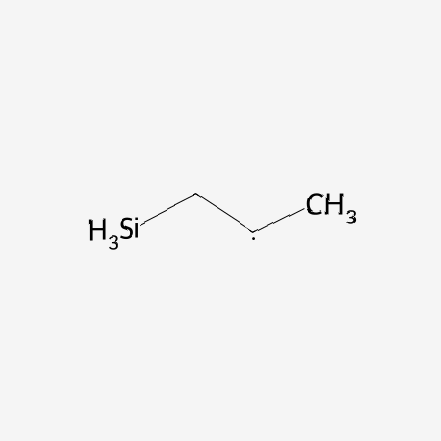 C[CH]C[SiH3]